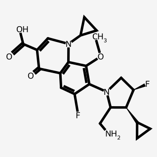 COc1c(N2C[C@@H](F)[C@@H](C3CC3)C2CN)c(F)cc2c(=O)c(C(=O)O)cn(C3CC3)c12